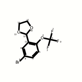 FC(F)(F)Oc1ccc(Br)cc1C1OCCO1